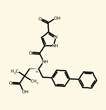 CC(C)(C[C@@H](Cc1ccc(-c2ccccc2)cc1)NC(=O)c1cc(C(=O)O)n[nH]1)C(=O)O